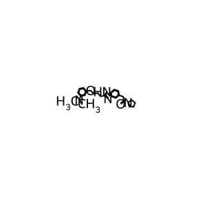 CN(C)c1cccc(OCCCc2nc3cc(CC(=O)N4CCCC4)ccc3[nH]2)c1